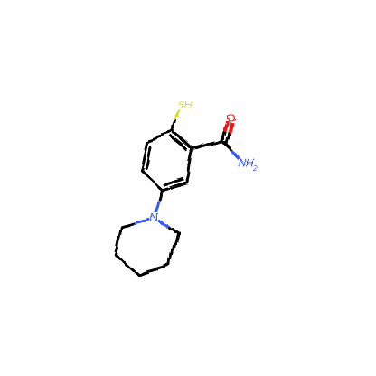 NC(=O)c1cc(N2CCCCC2)ccc1S